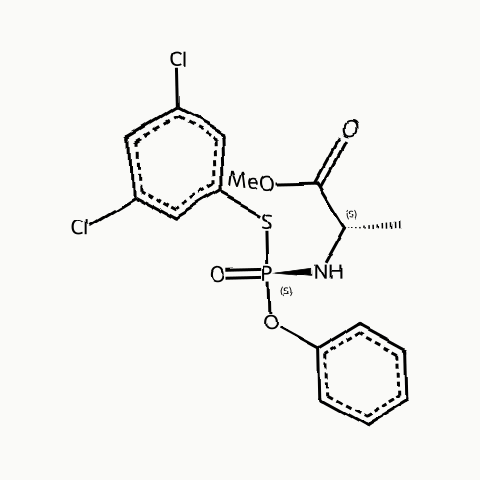 COC(=O)[C@H](C)N[P@](=O)(Oc1ccccc1)Sc1cc(Cl)cc(Cl)c1